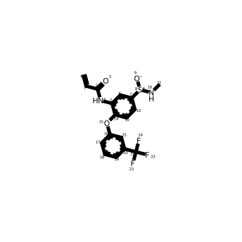 C=CC(=O)Nc1cc([S+]([O-])NC)ccc1Oc1cccc(C(F)(F)F)c1